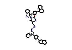 C=C/C(C(=C)/C=C\C(=C)C/C=C\C=C/CN(c1ccccc1)c1ccc(-c2ccc3ccccc3c2)cc1)=C(\C=C/C)N(c1ccccc1)c1ccc(-c2cccc3ccccc23)cc1